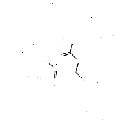 CCOC(C)=O.O=N[O-].[Na+].[Na+].[OH-]